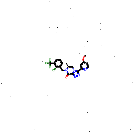 COc1ccnc(-c2nnc3n2C[C@H](C)N(Cc2cccc(C(F)(F)F)c2Cl)C3=O)c1